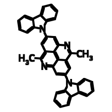 Cc1nc2cc(-n3c4ccccc4c4ccccc43)cc3c(C)nc4cc(-n5c6ccccc6c6ccccc65)cc1c4c23